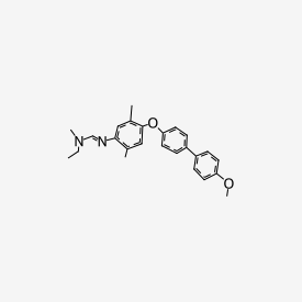 CCN(C)C=Nc1cc(C)c(Oc2ccc(-c3ccc(OC)cc3)cc2)cc1C